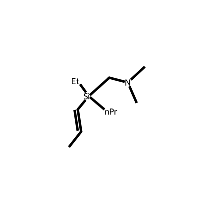 CC=C[Si](CC)(CCC)CN(C)C